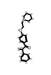 O=C(c1ccc(OCCN2CCCCC2)cc1)C([S])c1ccccc1